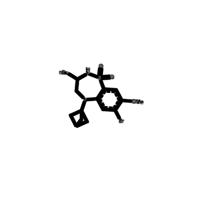 CCCCC1CN(C23CC(C2)C3)c2cc(Br)c(OC)cc2S(=O)(=O)N1